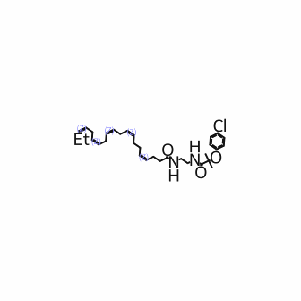 CC/C=C\C/C=C\C/C=C\C/C=C\CC/C=C\CCC(=O)NCCNC(=O)C(C)(C)Oc1ccc(Cl)cc1